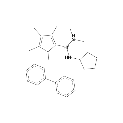 CC1=C(C)C(C)[C]([Hf]([NH]C2CCCC2)[SiH](C)C)=C1C.c1ccc(-c2ccccc2)cc1